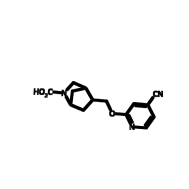 N#Cc1ccnc(OCC2CC3CC2CN3C(=O)O)c1